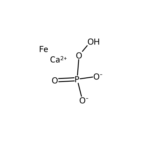 O=P([O-])([O-])OO.[Ca+2].[Fe]